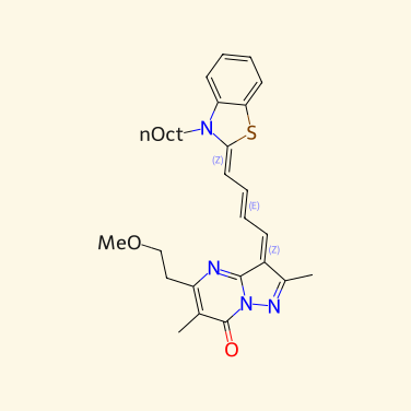 CCCCCCCCN1/C(=C/C=C/C=c2/c(C)nn3c(=O)c(C)c(CCOC)nc23)Sc2ccccc21